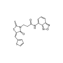 O=C(CCN1C(=O)/C(=C\c2cccs2)SC1=S)Nc1cccc2nonc12